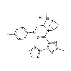 Cc1nc(C(=O)N2C3CC(C3)[C@H](C)C2COc2ccc(F)cc2)c(-n2nccn2)s1